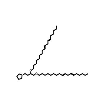 CCCCCC=CCC=CCCCCCCCCOCC(CCN1CCCC1)OCCCCCCCCC=CCC=CCCCCC